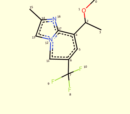 COC(C)c1cc(C(F)(F)F)cn2cc(C)nc12